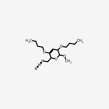 CCCCOC1=CC(OCCCC)C(OC)OC1CN=[N+]=[N-]